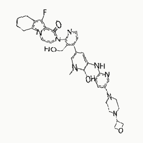 CN1C=C(c2ccnc(-n3ccn4c5c(c(F)c4c3=O)CCCC5)c2CO)C=C(Nc2ccc(N3CCN(C4COC4)CC3)cn2)C1O